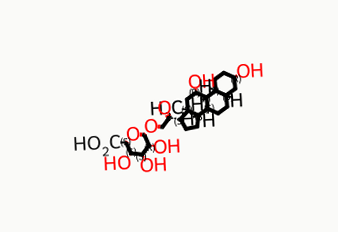 C[C@]12C[C@@H](O)[C@H]3[C@@H](CC[C@H]4C[C@H](O)CC[C@@H]43)[C@@H]1CC[C@@H]2C(=O)COC1O[C@H](C(=O)O)[C@@H](O)[C@H](O)[C@H]1O